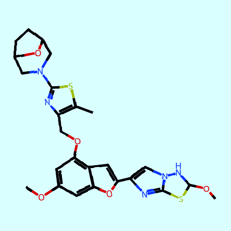 COc1cc(OCc2nc(N3CC4CCC(C3)O4)sc2C)c2cc(-c3cn4c(n3)SC(OC)N4)oc2c1